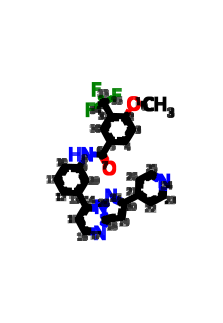 COc1ccc(C(=O)Nc2cccc(-c3ccnc4cc(-c5ccncc5)nn34)c2)cc1C(F)(F)F